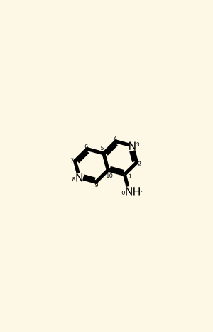 [NH]c1cncc2ccncc12